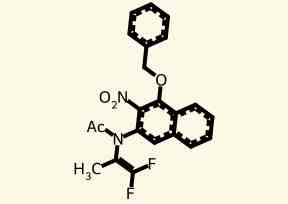 CC(=O)N(C(C)=C(F)F)c1cc2ccccc2c(OCc2ccccc2)c1[N+](=O)[O-]